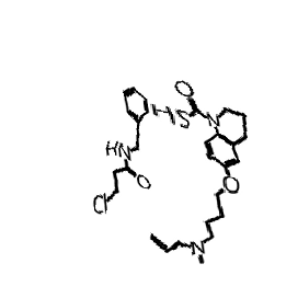 C=CCN(C)CCCCOc1ccc2c(c1)CCCN2C(=O)S.O=C(CCCl)NCc1ccccc1